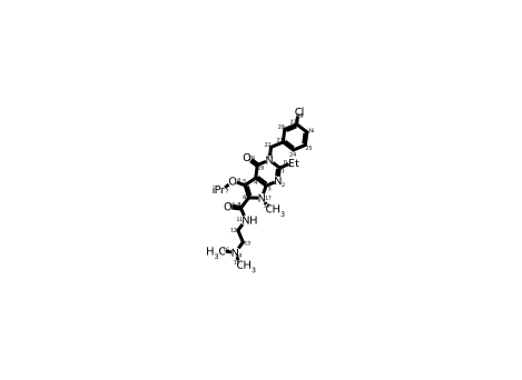 CCc1nc2c(c(OC(C)C)c(C(=O)NCCN(C)C)n2C)c(=O)n1Cc1cccc(Cl)c1